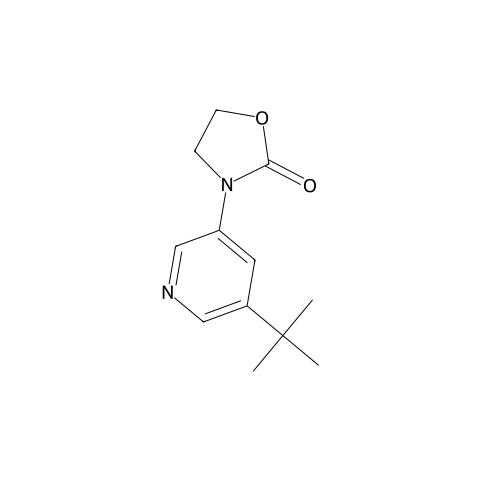 CC(C)(C)c1cncc(N2CCOC2=O)c1